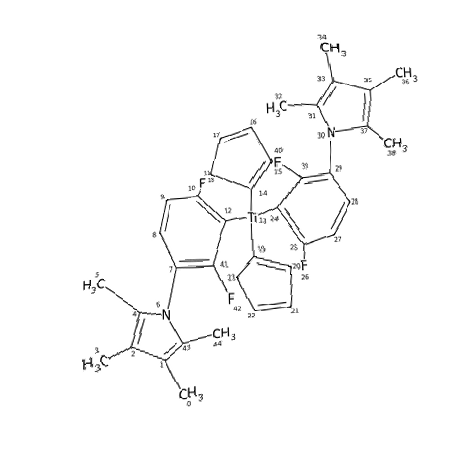 Cc1c(C)c(C)n(-c2ccc(F)[c]([Ti]([C]3=CC=CC3)([C]3=CC=CC3)[c]3c(F)ccc(-n4c(C)c(C)c(C)c4C)c3F)c2F)c1C